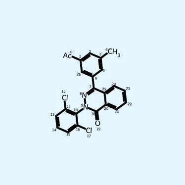 CC(=O)c1cc(C)cc(-c2nn(-c3c(Cl)cccc3Cl)c(=O)c3ccccc23)c1